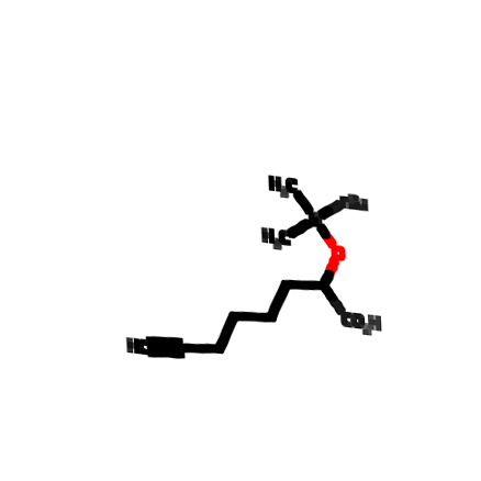 C#CCCCCC(O[Si](C)(C)CCCC)C(=O)O